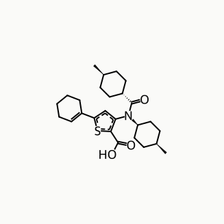 C[C@H]1CC[C@H](C(=O)N(c2cc(C3=CCCCC3)sc2C(=O)O)[C@H]2CC[C@@H](C)CC2)CC1